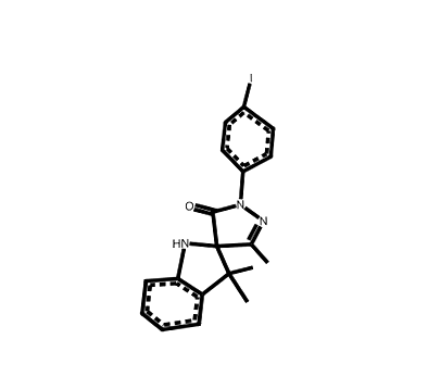 CC1=NN(c2ccc(I)cc2)C(=O)C12Nc1ccccc1C2(C)C